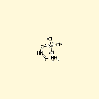 N=CN.[Cl][Sn]([Cl])([Cl])[Cl]